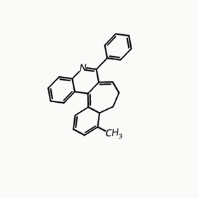 CC1=CC=CC2=c3c(c(-c4ccccc4)nc4ccccc34)=CCCC12